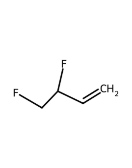 C=CC(F)CF